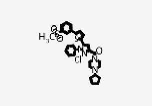 CS(=O)(=O)c1cccc(-c2ccc(-c3cc(C(=O)N4CCN(C5CCCC5)CC4)nn3-c3ccccc3Cl)s2)c1